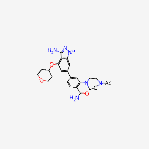 CC(=O)N1CCN(c2cc(-c3cc(OC4CCOCC4)c4c(N)n[nH]c4c3)ccc2C(N)=O)CC1